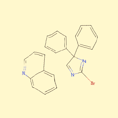 BrC1=NC(c2ccccc2)(c2ccccc2)C=N1.c1ccc2ncccc2c1